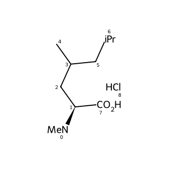 CN[C@@H](CC(C)CC(C)C)C(=O)O.Cl